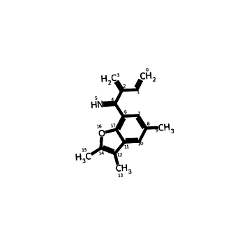 C=CC(=C)C(=N)c1cc(C)cc2c(C)c(C)oc12